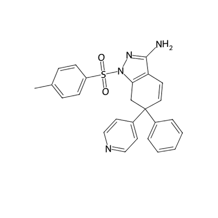 Cc1ccc(S(=O)(=O)n2nc(N)c3c2CC(c2ccccc2)(c2ccncc2)C=C3)cc1